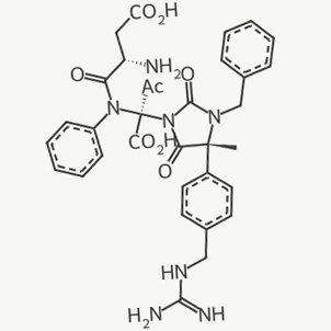 CC(=O)[C@@](C(=O)O)(N1C(=O)N(Cc2ccccc2)[C@](C)(c2ccc(CNC(=N)N)cc2)C1=O)N(C(=O)[C@@H](N)CC(=O)O)c1ccccc1